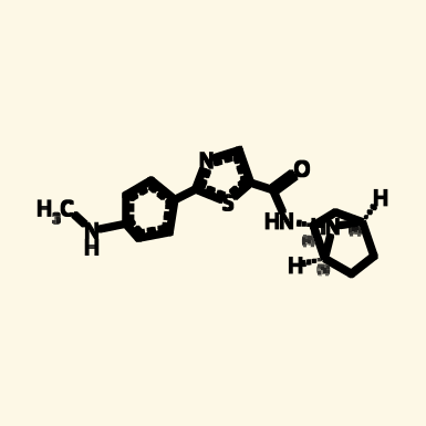 CNc1ccc(-c2ncc(C(=O)N[C@@H]3C[C@H]4CC[C@@H]3N4)s2)cc1